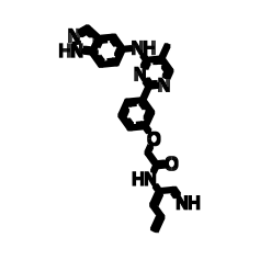 C=C/C=C(\C=N)NC(=O)COc1cccc(-c2ncc(C)c(Nc3ccc4[nH]ncc4c3)n2)c1